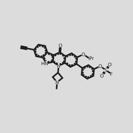 C#Cc1ccc2c(c1)[nH]c1c2c(=O)c2cc(OC(C)C)c(-c3cccc(OS(=O)(=O)F)c3)cc2n1C1CN(C)C1